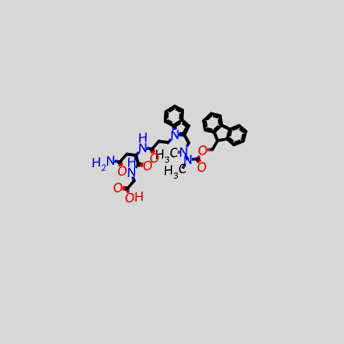 CN(Cc1cc2ccccc2n1CCC(=O)NC(CC(N)=O)C(=O)NCC(=O)O)N(C)C(=O)OCC1c2ccccc2-c2ccccc21